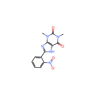 Cn1c(=O)c2[nH]c(-c3ccccc3[N+](=O)[O-])nc2n(C)c1=O